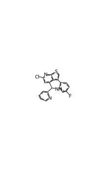 NC(c1ccccn1)c1cc(Cl)nc2scc(-c3ccc(F)cc3)c12